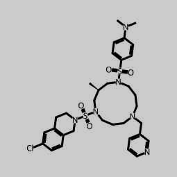 C[C@H]1CN(S(=O)(=O)c2ccc(N(C)C)cc2)CCCN(Cc2cccnc2)CCCN(S(=O)(=O)N2CCc3cc(Cl)ccc3C2)C1